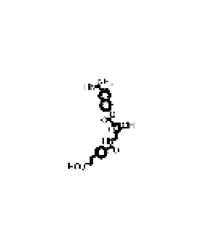 Cl.N=C(N)c1ccc2cc(OC(=O)c3ccc(CNC(=O)c4ccc(/C=C/C(=O)O)cc4)o3)ccc2c1